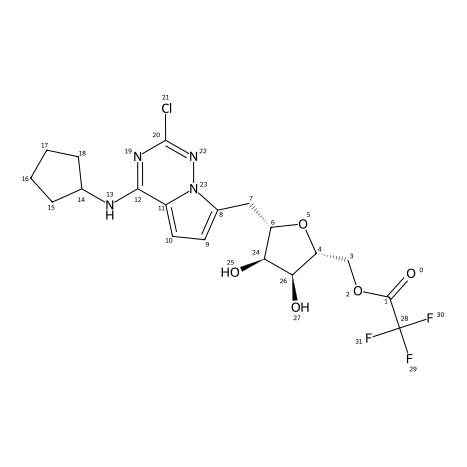 O=C(OC[C@H]1O[C@@H](Cc2ccc3c(NC4CCCC4)nc(Cl)nn23)[C@H](O)[C@@H]1O)C(F)(F)F